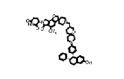 Cc1cc2c(c3c1C(=O)N([C@H]1CCC(=O)NC1=O)C3)OCC21CCN(C[C@@H]2CCC3(CCN(c4ccc([C@@H]5c6ccc(O)cc6CC[C@@H]5c5ccccc5)cc4)CC3)OC2)CC1